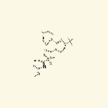 COc1cccc(S(=O)(=O)NC(=O)c2ccc(C(C)(C)C)nc2-c2ccc(C)cc2)n1